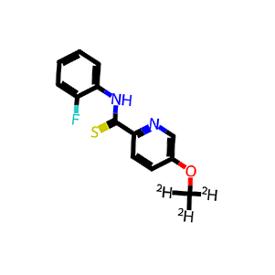 [2H]C([2H])([2H])Oc1ccc(C(=S)Nc2ccccc2F)nc1